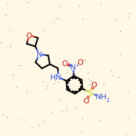 NS(=O)(=O)c1ccc(NCC2CCN(C3COC3)C2)c([N+](=O)[O-])c1